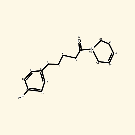 O=C(CCCCc1ccc(F)cc1)N1CC=CCC1